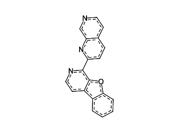 c1ccc2c(c1)oc1c(-c3ccc4ccncc4n3)nccc12